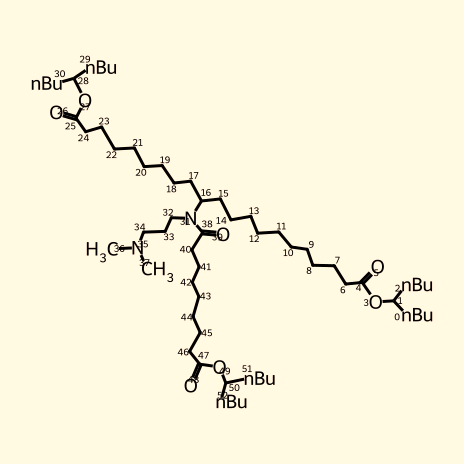 CCCCC(CCCC)OC(=O)CCCCCCCCCCC(CCCCCCCCC(=O)OC(CCCC)CCCC)N(CCCN(C)C)C(=O)CCCCCCCC(=O)OC(CCCC)CCCC